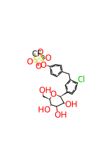 O=S(=O)(Oc1ccc(Cc2cc([C@@H]3O[C@H](CO)[C@@H](O)[C@H](O)[C@H]3O)ccc2Cl)cc1)S(=O)(=O)C(F)(F)F